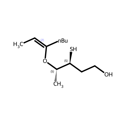 C/C=C(/CCCC)O[C@@H](C)[C@@H](S)CCO